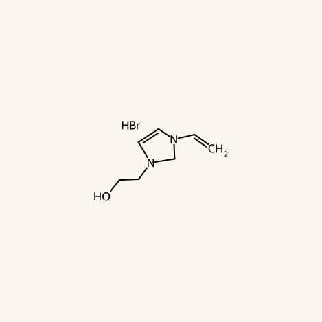 Br.C=CN1C=CN(CCO)C1